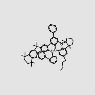 CCCCc1cc2c3c(c1)C1(C)CCCCC1(C)N3c1cc(-c3ccccc3)cc3c1B2N(c1ccccc1-c1ccccc1)c1cc2c(cc1-3)C(C)(C)c1cc3c(cc1-2)C(C)(C)CCC3(C)C